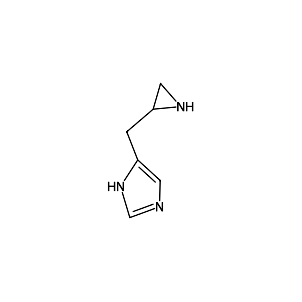 c1ncc(CC2CN2)[nH]1